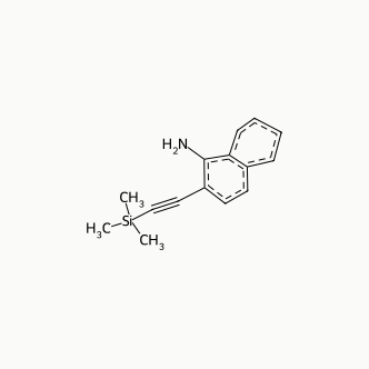 C[Si](C)(C)C#Cc1ccc2ccccc2c1N